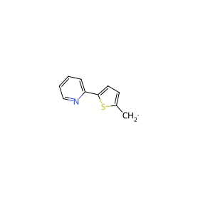 [CH2]c1ccc(-c2ccccn2)s1